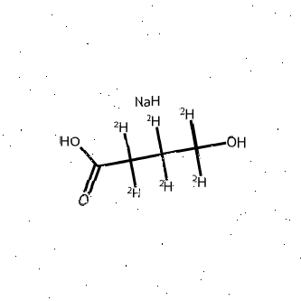 [2H]C([2H])(O)C([2H])([2H])C([2H])([2H])C(=O)O.[NaH]